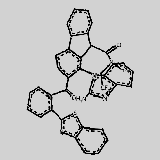 CCCN(CC(F)(F)F)C(=O)C1c2ccccc2-c2ccc(C(=O)c3ccccc3-c3nc4ccccc4s3)c(-n3c(N)nc4ccccc43)c21